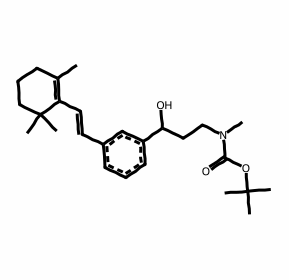 CC1=C(C=Cc2cccc(C(O)CCN(C)C(=O)OC(C)(C)C)c2)C(C)(C)CCC1